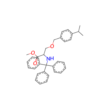 COC(=O)C(COCc1ccc(C(C)C)cc1)NC(c1ccccc1)(c1ccccc1)c1ccccc1